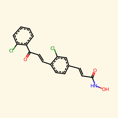 O=C(/C=C/c1ccc(/C=C/C(=O)c2ccccc2Cl)c(Cl)c1)NO